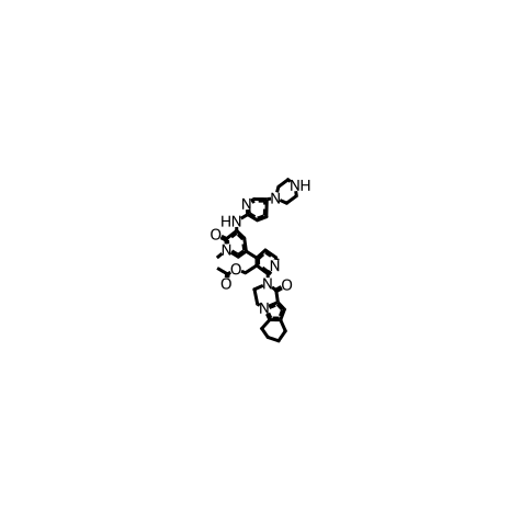 CC(=O)OCc1c(-c2cc(Nc3ccc(N4CCNCC4)cn3)c(=O)n(C)c2)ccnc1N1CCn2c(cc3c2CCCC3)C1=O